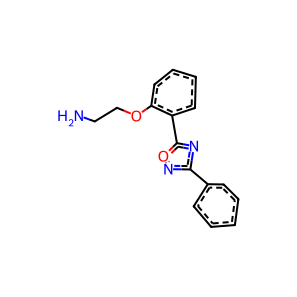 NCCOc1ccccc1-c1nc(-c2ccccc2)no1